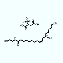 CCCCCC[C@@H](O)C/C=C\CCCCCCCC(=O)NCCO.O=C(O)CC(C(=O)O)S(=O)(=O)O